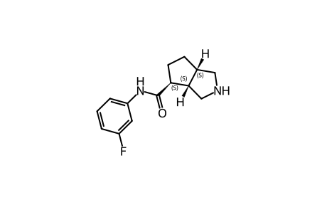 O=C(Nc1cccc(F)c1)[C@H]1CC[C@@H]2CNC[C@@H]21